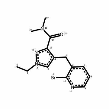 CCn1cc(Cc2cccnc2Br)c(C(=O)N(C)C)n1